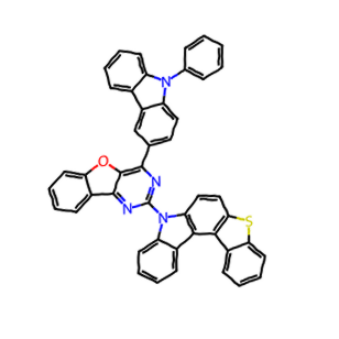 c1ccc(-n2c3ccccc3c3cc(-c4nc(-n5c6ccccc6c6c7c(ccc65)sc5ccccc57)nc5c4oc4ccccc45)ccc32)cc1